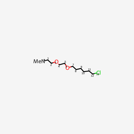 CNCCOCCOCCCCCCCl